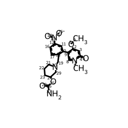 COc1cc(=O)n(C)cc1-c1cc([N+](=O)[O-])ccc1CN1CCCC(OC(N)=O)C1